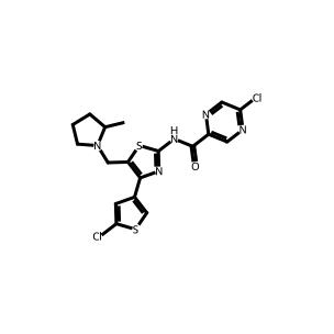 CC1CCCN1Cc1sc(NC(=O)c2cnc(Cl)cn2)nc1-c1csc(Cl)c1